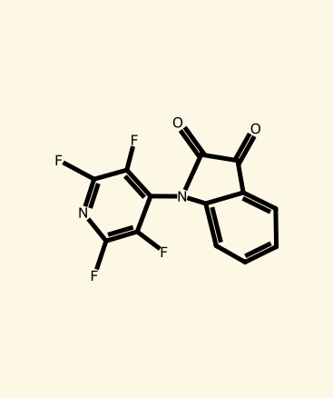 O=C1C(=O)N(c2c(F)c(F)nc(F)c2F)c2ccccc21